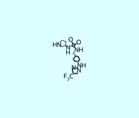 O=c1c(NCc2ccc(Nc3ncc(C(F)(F)F)cn3)cc2)c(NC2CCCNC2)c1=O